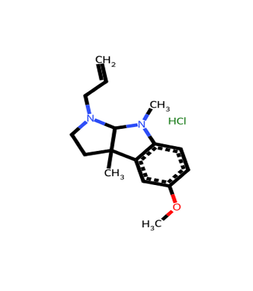 C=CCN1CCC2(C)c3cc(OC)ccc3N(C)C12.Cl